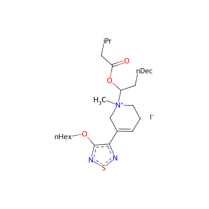 CCCCCCCCCCCC(OC(=O)CC(C)C)[N+]1(C)CCC=C(c2nsnc2OCCCCCC)C1.[I-]